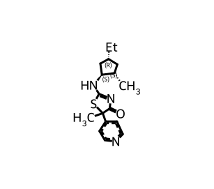 CC[C@H]1C[C@H](NC2=NC(=O)C(C)(c3ccncc3)S2)[C@@H](C)C1